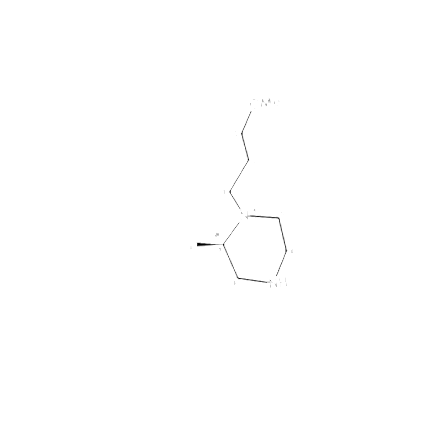 COCCCN1CCNC[C@H]1C